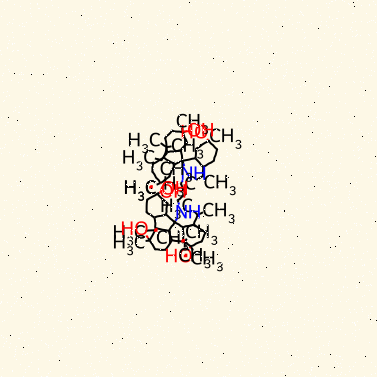 CC(C)C1CCC(C)(O)CC1C(NCCCNC(C1CC(C)(O)CCC1C(C)C)(C1CC(C)(O)CCC1C(C)C)C1CC(C)(O)CCC1C(C)C)(C1CC(C)(O)CCC1C(C)C)C1CC(C)(O)CCC1C(C)C